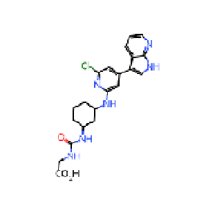 O=C(O)CNC(=O)NC1CCCC(Nc2cc(-c3c[nH]c4ncccc34)cc(Cl)n2)C1